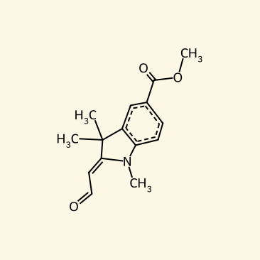 COC(=O)c1ccc2c(c1)C(C)(C)/C(=C/C=O)N2C